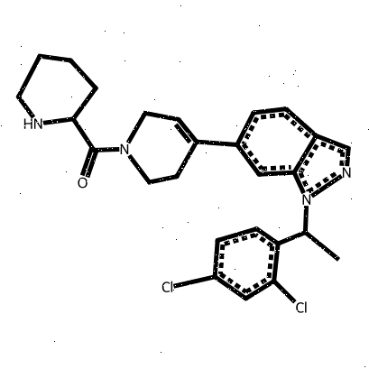 CC(c1ccc(Cl)cc1Cl)n1ncc2ccc(C3=CCN(C(=O)C4CCCCN4)CC3)cc21